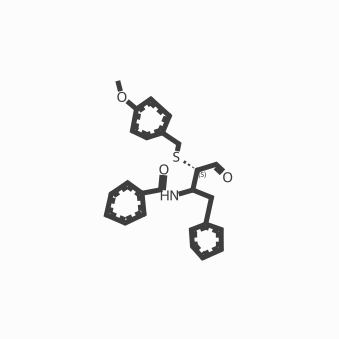 COc1ccc(CS[C@H](C=O)C(Cc2ccccc2)NC(=O)c2ccccc2)cc1